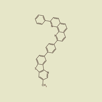 Cc1cnc2c(c1)sc1ccc(-c3ccc(-c4ccc5ccc6ccc(-c7ccccc7)nc6c5n4)cc3)cc12